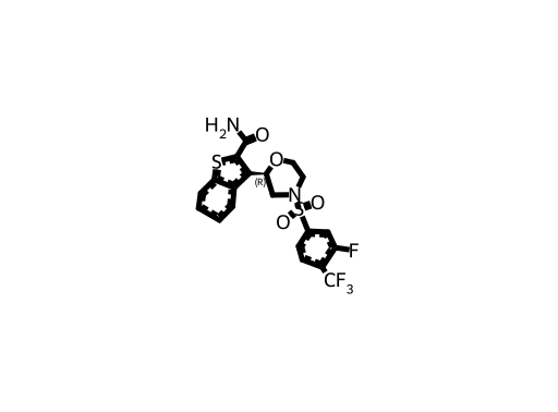 NC(=O)c1sc2ccccc2c1[C@@H]1CN(S(=O)(=O)c2ccc(C(F)(F)F)c(F)c2)CCO1